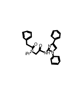 CC(C)N(CC(=O)Nc1nc(-c2ccccc2)cn1-c1ccccc1)C(=O)Cc1ccccc1